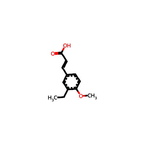 CCc1cc(C=CC(=O)O)ccc1OC